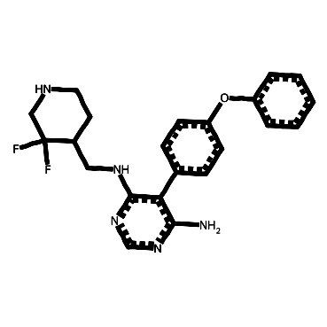 Nc1ncnc(NCC2CCNCC2(F)F)c1-c1ccc(Oc2ccccc2)cc1